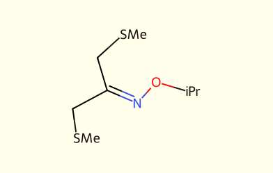 CSCC(CSC)=NOC(C)C